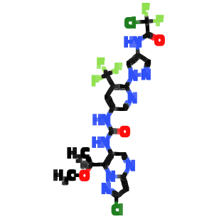 CO[C@@H](C)c1c(NC(=O)Nc2cnc(-n3cc(NC(=O)C(F)(F)Cl)cn3)c(C(F)(F)F)c2)cnc2cc(Cl)nn12